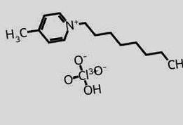 CCCCCCCC[n+]1ccc(C)cc1.[O-][Cl+3]([O-])([O-])O